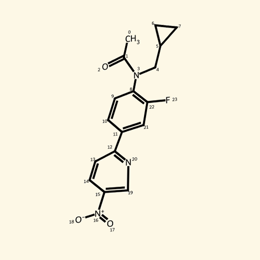 CC(=O)N(CC1CC1)c1ccc(-c2ccc([N+](=O)[O-])cn2)cc1F